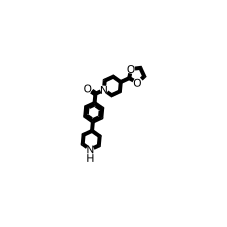 O=C(c1ccc(C2CCNCC2)cc1)N1CCC(C2OCCO2)CC1